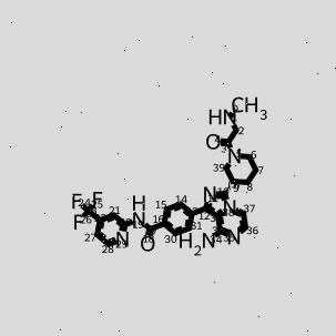 CNCC(=O)N1CCC[C@H](c2nc(-c3ccc(C(=O)Nc4cc(C(F)(F)F)ccn4)cc3)c3c(N)nccn23)C1